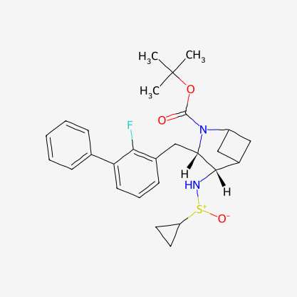 CC(C)(C)OC(=O)N1C2CC(C2)[C@H](N[S+]([O-])C2CC2)[C@@H]1Cc1cccc(-c2ccccc2)c1F